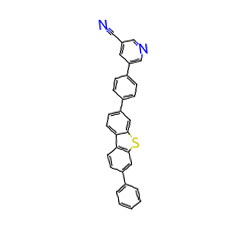 N#Cc1cncc(-c2ccc(-c3ccc4c(c3)sc3cc(-c5ccccc5)ccc34)cc2)c1